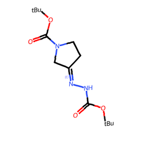 CC(C)(C)OC(=O)N/N=C1\CCN(C(=O)OC(C)(C)C)C1